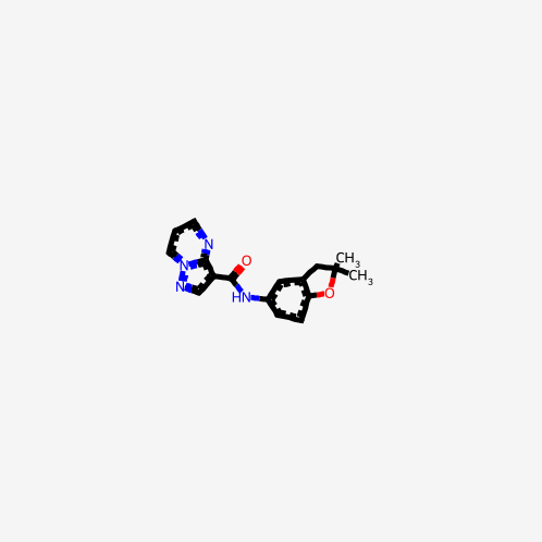 CC1(C)Cc2cc(NC(=O)c3cnn4cccnc34)ccc2O1